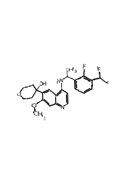 COc1cc2nccc(NC(C)c3cccc(C(F)F)c3F)c2cc1C1(O)CCOCC1